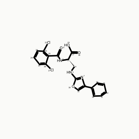 O=C(N[C@@H](CNc1nc(-c2ccccc2)co1)C(=O)O)c1c(Cl)cccc1Cl